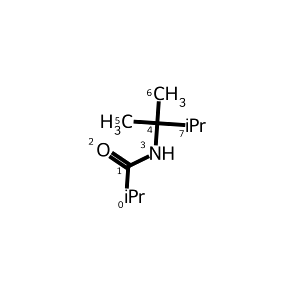 CC(C)C(=O)NC(C)(C)C(C)C